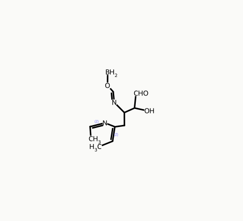 BOC=NC(CC(=C/C)/N=C\C)C(O)C=O